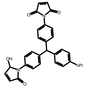 CCCc1ccc(C(c2ccc(N3C(=O)C=CC3=O)cc2)c2ccc(N3C(=O)C=CC3O)cc2)cc1